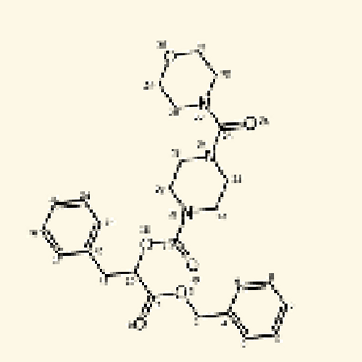 O=C(OCc1ccccc1)C(Cc1ccccc1)OC(=O)N1CCN(C(=O)N2CCOCC2)CC1